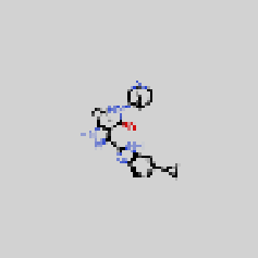 Cc1[nH]nc(-c2nc3ccc(C4CC4)cc3[nH]2)c1C(=O)NC1CN2CCC1CC2